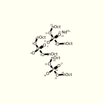 CCCCCCCCOP(=O)([O-])OCCCCCCCC.CCCCCCCCOP(=O)([O-])OCCCCCCCC.CCCCCCCCOP(=O)([O-])OCCCCCCCC.[Nd+3]